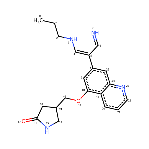 CCCN/C=C(\C=N)c1cc(OCC2CNC(=O)C2)c2cccnc2c1